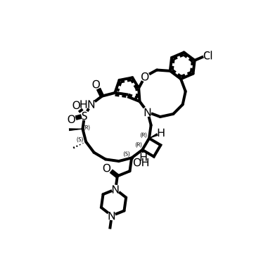 C[C@@H]1[C@@H](C)CCC[C@](O)(CC(=O)N2CCN(C)CC2)[C@@H]2CC[C@H]2CN2CCCCc3cc(Cl)ccc3COc3ccc(cc32)C(=O)NS1(=O)=O